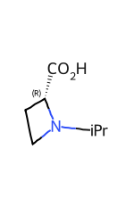 CC(C)N1CC[C@@H]1C(=O)O